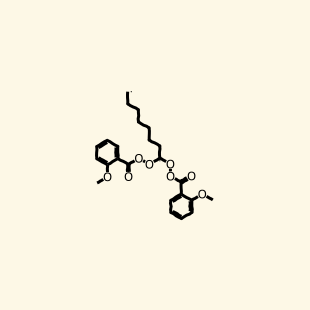 [CH2]CCCCCC[C](OOC(=O)c1ccccc1OC)OOC(=O)c1ccccc1OC